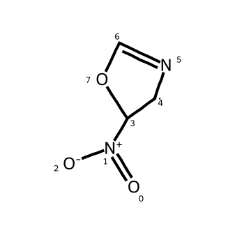 O=[N+]([O-])C1[CH]N=CO1